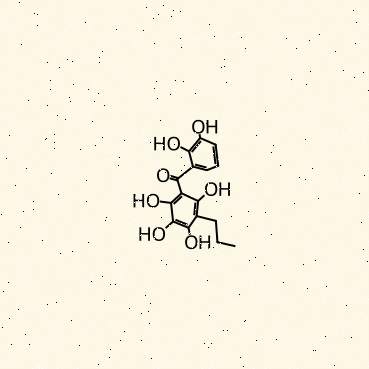 CCCc1c(O)c(O)c(O)c(C(=O)c2cccc(O)c2O)c1O